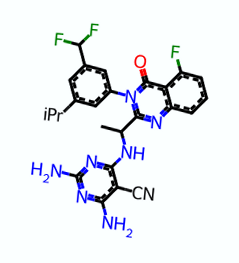 CC(C)c1cc(C(F)F)cc(-n2c(C(C)Nc3nc(N)nc(N)c3C#N)nc3cccc(F)c3c2=O)c1